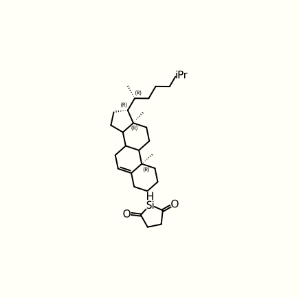 CC(C)CCC[C@@H](C)[C@H]1CCC2C3CC=C4CC([SiH]5C(=O)CCC5=O)CC[C@]4(C)C3CC[C@@]21C